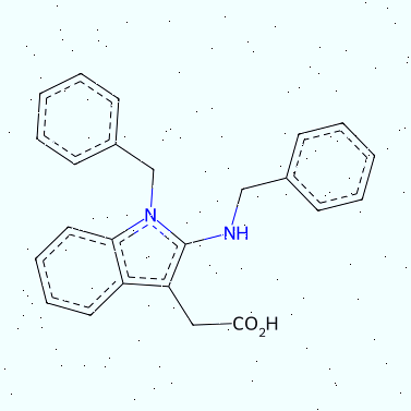 O=C(O)Cc1c(NCc2ccccc2)n(Cc2ccccc2)c2ccccc12